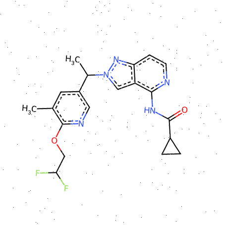 Cc1cc(C(C)n2cc3c(NC(=O)C4CC4)nccc3n2)cnc1OCC(F)F